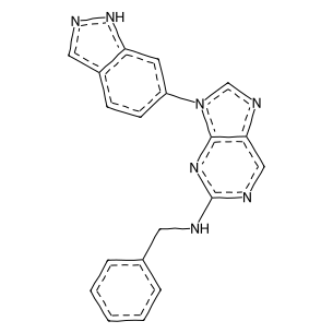 c1ccc(CNc2ncc3ncn(-c4ccc5cn[nH]c5c4)c3n2)cc1